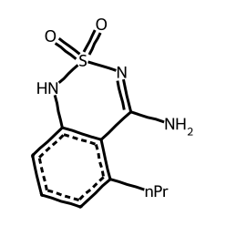 CCCc1cccc2c1C(N)=NS(=O)(=O)N2